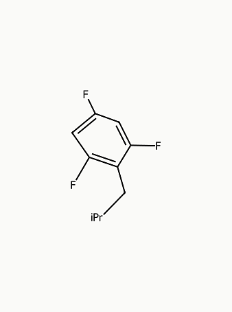 CC(C)Cc1c(F)cc(F)cc1F